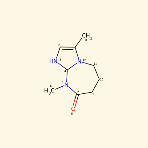 CC1=CNC2N(C)C(=O)CCCN12